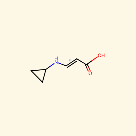 O=C(O)/C=C/NC1CC1